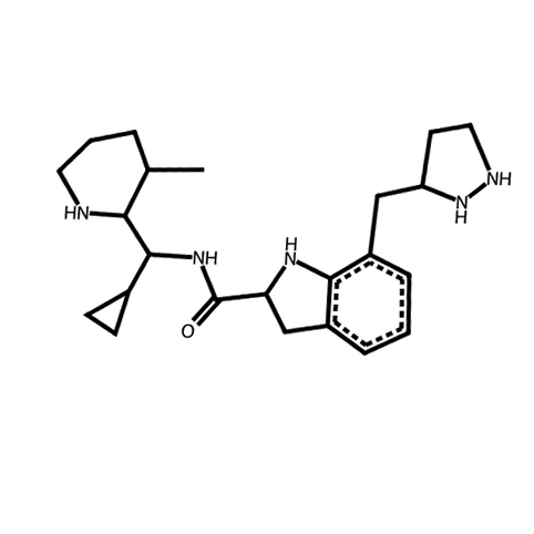 CC1CCCNC1C(NC(=O)C1Cc2cccc(CC3CCNN3)c2N1)C1CC1